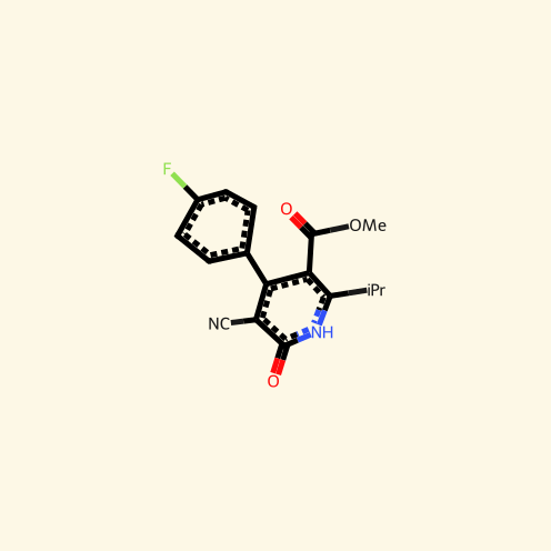 COC(=O)c1c(C(C)C)[nH]c(=O)c(C#N)c1-c1ccc(F)cc1